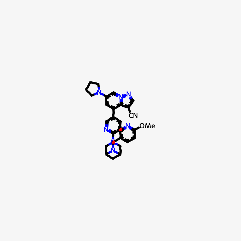 COc1ccc(CN2C3CC2CN(c2ccc(-c4cc(N5CCCC5)cn5ncc(C#N)c45)cn2)C3)cn1